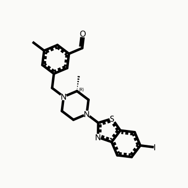 Cc1cc(C=O)cc(CN2CCN(c3nc4ccc(I)cc4s3)C[C@H]2C)c1